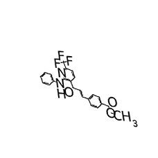 COC(=O)c1ccc(/C=C/C(=O)c2ccc(C(F)(F)F)nc2Nc2ccccc2)cc1